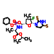 CC(C)OC(=O)[C@H](C)NP(=O)(OC[C@@H]1CC(C)(F)[C@H](n2ccc(=S)[nH]c2=S)O1)Oc1ccccc1